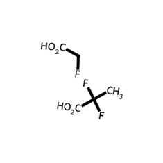 CC(F)(F)C(=O)O.O=C(O)CF